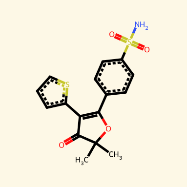 CC1(C)OC(c2ccc(S(N)(=O)=O)cc2)=C(c2cccs2)C1=O